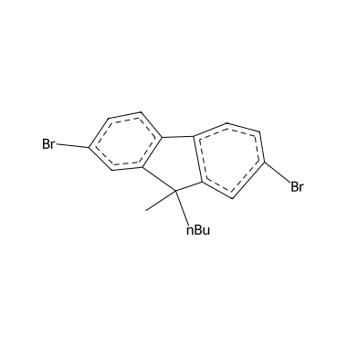 CCCCC1(C)c2cc(Br)ccc2-c2ccc(Br)cc21